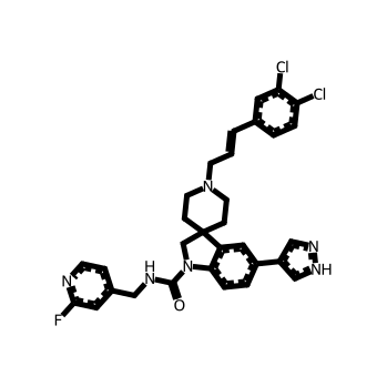 O=C(NCc1ccnc(F)c1)N1CC2(CCN(C/C=C/c3ccc(Cl)c(Cl)c3)CC2)c2cc(-c3cn[nH]c3)ccc21